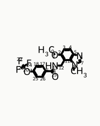 COc1ccc2ncn(C)c2c1CNC(=O)c1ccc(OC(F)(F)F)cc1